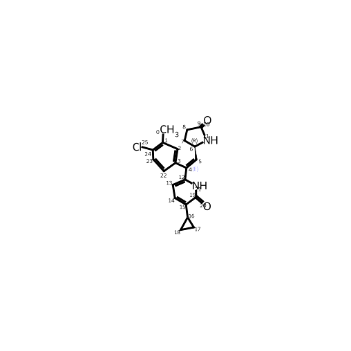 Cc1cc(/C(=C\[C@H]2CCC(=O)N2)c2ccc(C3CC3)c(=O)[nH]2)ccc1Cl